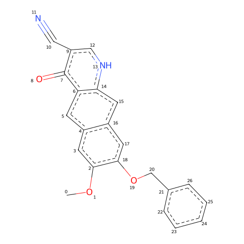 COc1cc2cc3c(=O)c(C#N)c[nH]c3cc2cc1OCc1ccccc1